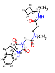 C[C@H](NC(=O)CCN(C)C(=O)CN1C(=O)N[C@@]2(CCc3ccccc32)C1=O)C1CCC1